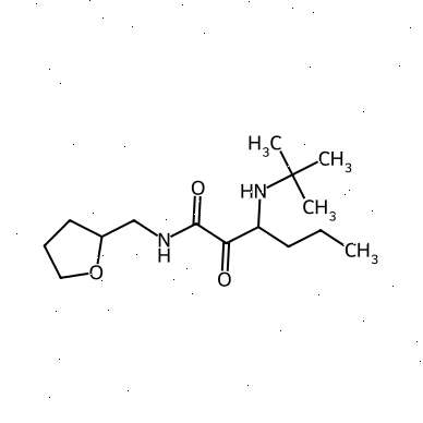 CCCC(NC(C)(C)C)C(=O)C(=O)NCC1CCCO1